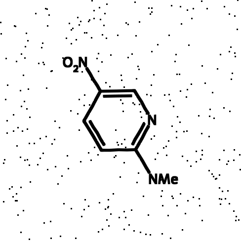 [CH]Nc1ccc([N+](=O)[O-])cn1